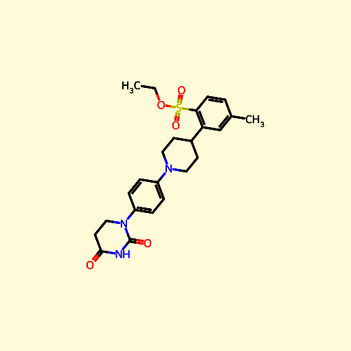 CCOS(=O)(=O)c1ccc(C)cc1C1CCN(c2ccc(N3CCC(=O)NC3=O)cc2)CC1